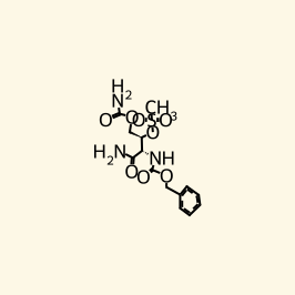 CS(=O)(=O)O[C@H](COC(N)=O)[C@H](NC(=O)OCc1ccccc1)C(N)=O